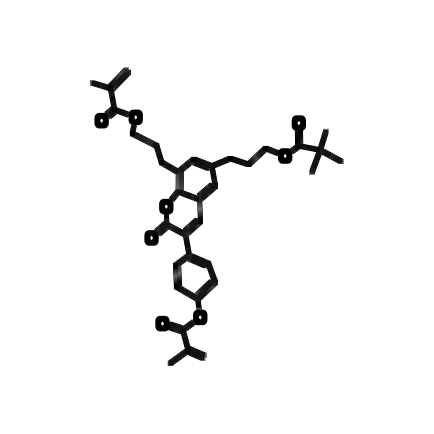 C=C(C)C(=O)OCCCc1cc(CCCOC(=O)C(C)(C)C)cc2cc(-c3ccc(OC(=O)C(=C)C)cc3)c(=O)oc12